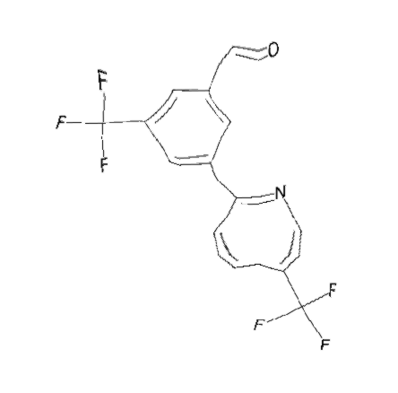 O=Cc1cc(-c2ccc(C(F)(F)F)cn2)cc(C(F)(F)F)c1